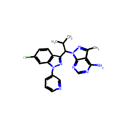 Cc1nn(C(c2nn(-c3cccnc3)c3cc(Cl)ccc23)C(C)C)c2ncnc(N)c12